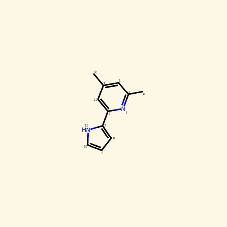 Cc1cc(C)nc(-c2ccc[nH]2)c1